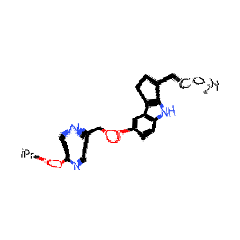 CC(C)Oc1cnc(COc2ccc3[nH]c4c(c3c2)CCC4CC(=O)O)cn1